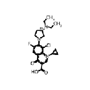 CCN(CC)[C@H]1CCN(c2c(F)cc3c(=O)c(C(=O)O)cn(C4CC4)c3c2Cl)C1